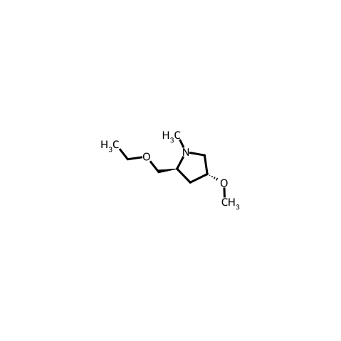 CCOC[C@@H]1C[C@@H](OC)CN1C